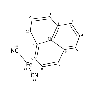 C1=Cc2cccc3cccc(c23)C1.N#[C][Fe][C]#N